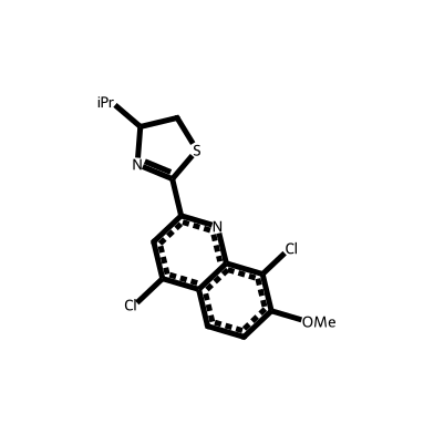 COc1ccc2c(Cl)cc(C3=NC(C(C)C)CS3)nc2c1Cl